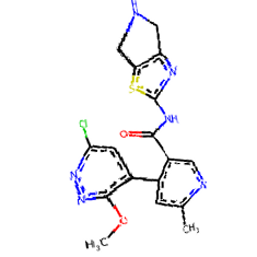 COc1nnc(Cl)cc1-c1cc(C)ncc1C(=O)Nc1nc2c(s1)CNC2